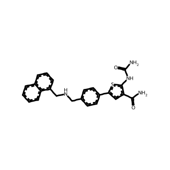 NC(=O)Nc1sc(-c2ccc(CNCc3cccc4ccccc34)cc2)cc1C(N)=O